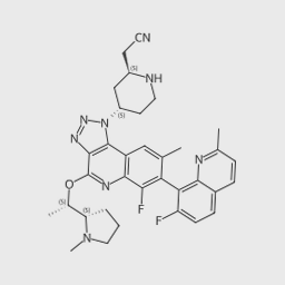 Cc1ccc2ccc(F)c(-c3c(C)cc4c(nc(O[C@@H](C)[C@@H]5CCCN5C)c5nnn([C@H]6CCN[C@H](CC#N)C6)c54)c3F)c2n1